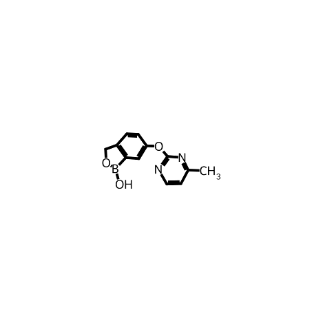 Cc1ccnc(Oc2ccc3c(c2)B(O)OC3)n1